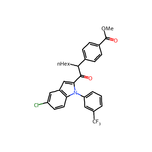 CCCCCCC(C(=O)c1cc2cc(Cl)ccc2n1-c1cccc(C(F)(F)F)c1)c1ccc(C(=O)OC)cc1